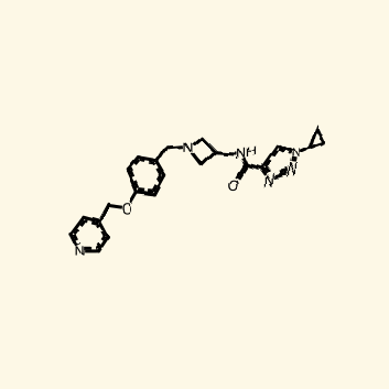 O=C(NC1CN(Cc2ccc(OCc3ccncc3)cc2)C1)c1cn(C2CC2)nn1